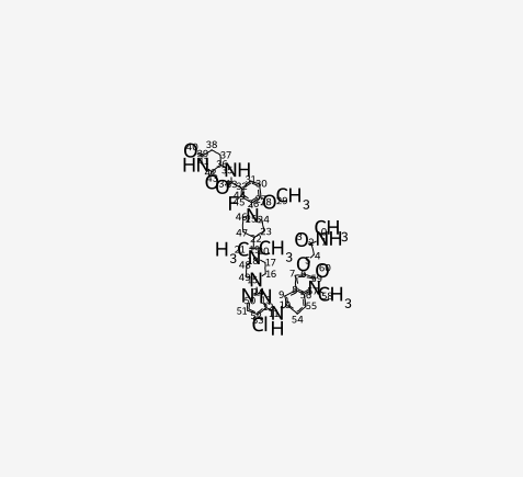 CNC(=O)COc1cc2cc(Nc3nc(N4CCN(C(C)(C)C5CCN(c6c(OC)ccc(C(=O)NC7CCC(=O)NC7=O)c6F)CC5)CC4)ncc3Cl)ccc2n(C)c1=O